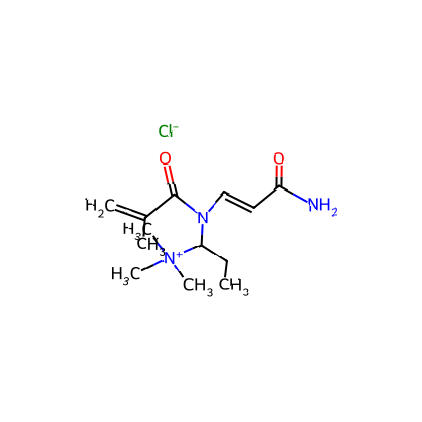 C=C(C)C(=O)N(C=CC(N)=O)C(CC)[N+](C)(C)C.[Cl-]